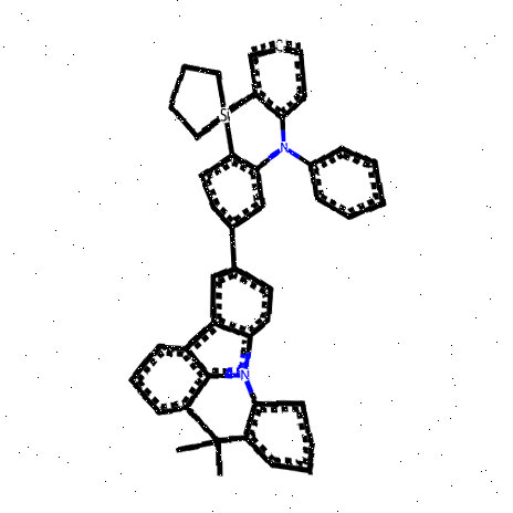 CC1(C)c2ccccc2-n2c3ccc(-c4ccc5c(c4)N(c4ccccc4)c4ccccc4[Si]54CCCC4)cc3c3cccc1c32